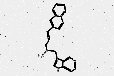 CN(C/C=C/c1ccc2ccccc2c1)Cc1c[nH]c2ccccc12